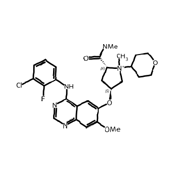 CNC(=O)[C@H]1C[C@H](Oc2cc3c(Nc4cccc(Cl)c4F)ncnc3cc2OC)C[N+]1(C)C1CCOCC1